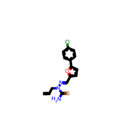 C=CCN(N=Cc1ccc(-c2ccc(Cl)cc2)o1)C(N)=S